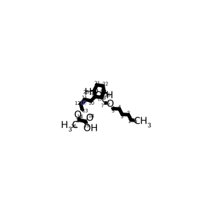 CCCCCCOC[C@@H]1C(C/C=C\CO[C@H](C)C(=O)O)[C@@H]2CC[C@H]1O2